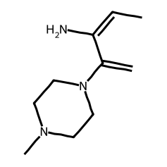 C=C(/C(N)=C\C)N1CCN(C)CC1